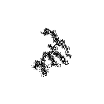 Cc1cc(N2CCN(C(=O)C3CCCN(C4CC4)C3)CC2)c2ccccc2n1.N#Cc1ccc(N2CCN(C(=O)C3CCCN(C4CC4)C3)CC2)cc1.O=C(C1CCCN(C2CC2)C1)N1CCN(c2cc(Cl)cc(Cl)c2)CC1.O=C(C1CCCN(C2CC2)C1)N1CCN(c2ccccn2)CC1.O=C(C1CCCN(C2CC2)C1)N1CCN(c2ccncc2)CC1